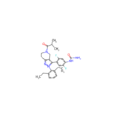 CCc1cccc(CC)c1-n1nc2c(c1-c1cc(F)c(NC(N)=O)cc1F)CN(C(=O)C(C)C)CC2